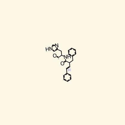 O=[C]C(Cc1c[nH]cn1)NC(=O)C(/C=C/c1ccccc1)Cc1ccccc1